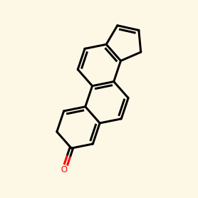 O=C1C=c2ccc3c4c(ccc3c2=CC1)C=CC4